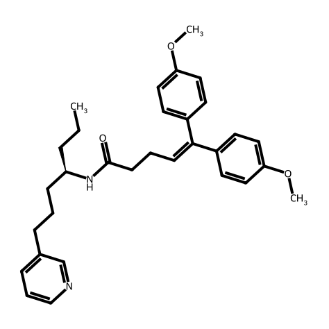 CCC[C@H](CCCc1cccnc1)NC(=O)CCC=C(c1ccc(OC)cc1)c1ccc(OC)cc1